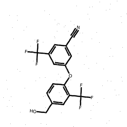 N#Cc1cc(Oc2ccc(CO)cc2C(F)(F)F)cc(C(F)(F)F)c1